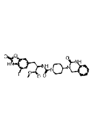 COC(=O)[C@@H](Cc1cc(I)c2[nH]c(=O)oc2c1)NC(=O)N1CCC(N2Cc3ccccc3NC2=O)CC1